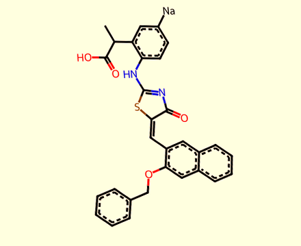 CC(C(=O)O)c1c[c]([Na])ccc1NC1=NC(=O)C(=Cc2cc3ccccc3cc2OCc2ccccc2)S1